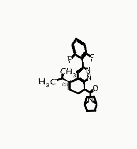 CC(C)[C@@H]1CCC(C(=O)N2C3CCC2CC3)c2nnc(-c3c(F)cccc3F)cc21